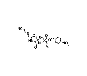 C=CSC1(C(=O)OCc2ccc([N+](=O)[O-])cc2)CS[C@@H]2C(NC(=O)CSC=CC#N)C(=O)N2C1